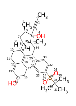 CC#C[C@]1(O)[C@H](C)C[C@H]2[C@@H]3CCC4=CC(O)CCC4=C3[C@@H](c3ccc(S(=O)(=O)C(C)(C)C)cc3)C[C@@]21C